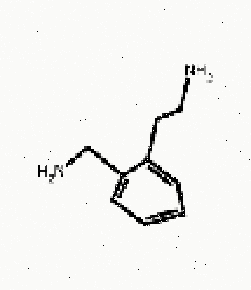 NCCc1ccccc1CN